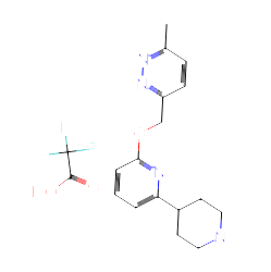 Cc1ccc(COc2cccc(C3CCNCC3)n2)nn1.O=C(O)C(F)(F)F